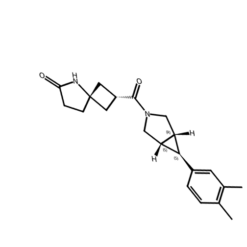 Cc1ccc([C@H]2[C@@H]3CN(C(=O)[C@H]4C[C@]5(CCC(=O)N5)C4)C[C@@H]32)cc1C